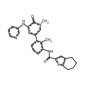 Cc1c(NC(=O)c2cc3c(s2)CCCC3)cccc1-c1cn(C)c(=O)c(Nc2cccnc2)n1